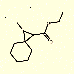 CCOC(=O)C1C(C)C12CCCCC2